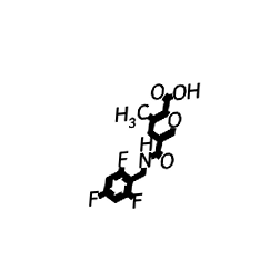 CC1=C(C(=O)O)OC=C(C(=O)NCc2c(F)cc(F)cc2F)C1